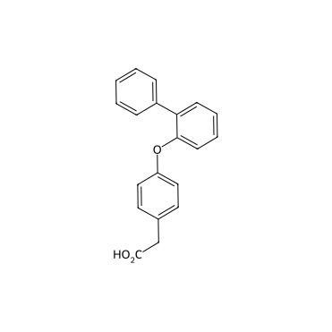 O=C(O)Cc1ccc(Oc2ccccc2-c2ccccc2)cc1